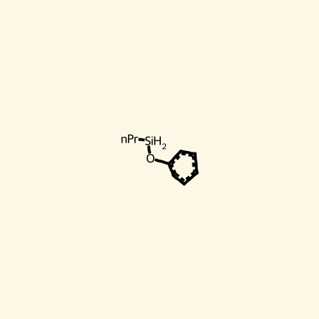 CCC[SiH2]Oc1ccccc1